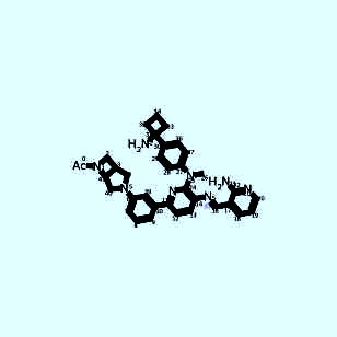 CC(=O)N1CC2CN(c3cccc(-c4ccc(/N=C/c5cccnc5N)c(N(C)c5ccc(C6(N)CCC6)cc5)n4)c3)CC21